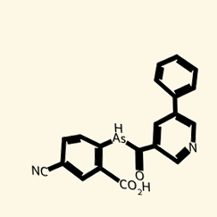 N#Cc1ccc([AsH]C(=O)c2cncc(-c3ccccc3)c2)c(C(=O)O)c1